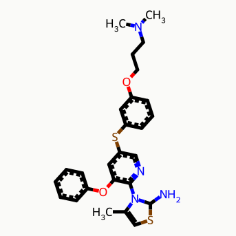 CC1=CSC(N)N1c1ncc(Sc2cccc(OCCCN(C)C)c2)cc1Oc1ccccc1